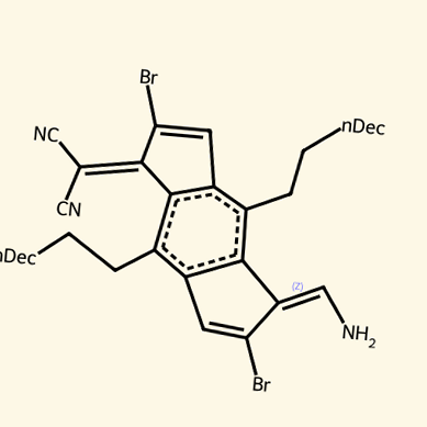 CCCCCCCCCCCCc1c2c(c(CCCCCCCCCCCC)c3c1C(=C(C#N)C#N)C(Br)=C3)/C(=C/N)C(Br)=C2